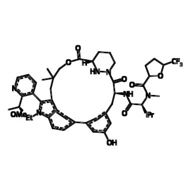 CCn1c(-c2cccnc2[C@H](C)OC)c2c3cc(ccc31)-c1cc(O)cc(c1)C[C@H](NC(=O)[C@H](C(C)C)N(C)C(=O)C1CCC(C(F)(F)F)O1)C(=O)N1CCC[C@H](N1)C(=O)OCC(C)(C)C2